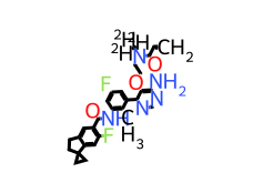 [2H]C([2H])([2H])N(CCOc1c(N)ncnc1-c1cc(F)cc(NC(=O)c2cc3c(cc2F)C2(CC3)CC2)c1C)C(=O)C=C